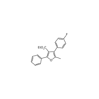 CCOC(=O)c1c(-c2ccccc2)oc(C)c1-c1ccc(F)cc1